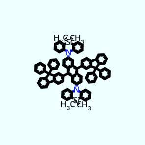 C[Si]1(C)c2ccccc2N(c2ccc3c(-c4ccc5c(c4)C(c4ccccc4)(c4ccccc4)c4ccccc4-5)c4cc(N5c6ccccc6[Si](C)(C)c6ccccc65)ccc4c(-c4ccc5c(c4)C(c4ccccc4)(c4ccccc4)c4ccccc4-5)c3c2)c2ccccc21